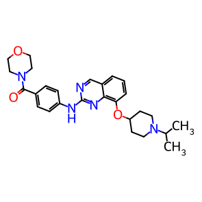 CC(C)N1CCC(Oc2cccc3cnc(Nc4ccc(C(=O)N5CCOCC5)cc4)nc23)CC1